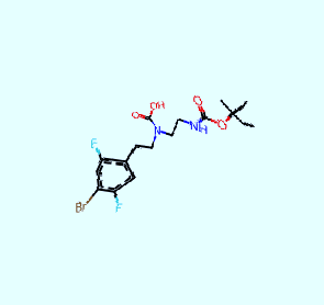 CC(C)(C)OC(=O)NCCN(CCc1cc(F)c(Br)cc1F)C(=O)O